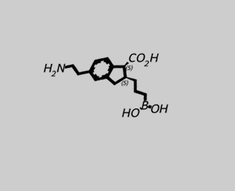 NCCc1ccc2c(c1)C[C@H](CCCB(O)O)[C@@H]2C(=O)O